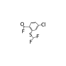 O=C(F)c1ccc(Cl)cc1SC(F)F